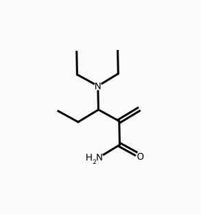 C=C(C(N)=O)C(CC)N(CC)CC